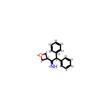 N=C(C1COC1)C(c1ccccc1)c1ccccc1